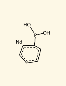 OP(O)c1ccccc1.[Nd]